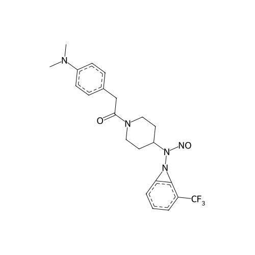 CN(C)c1ccc(CC(=O)N2CCC(N(N=O)N3c4cccc(C(F)(F)F)c43)CC2)cc1